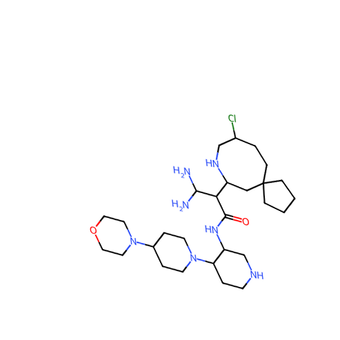 NC(N)C(C(=O)NC1CNCCC1N1CCC(N2CCOCC2)CC1)C1CC2(CCCC2)CCC(Cl)CN1